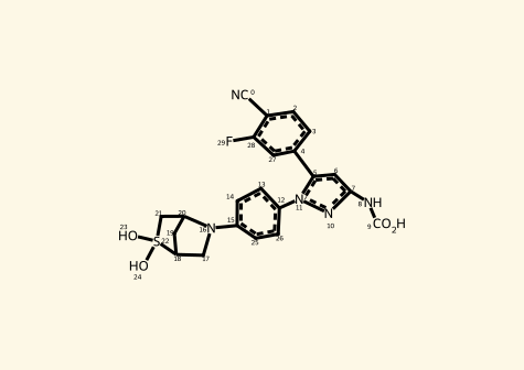 N#Cc1ccc(-c2cc(NC(=O)O)nn2-c2ccc(N3CC4CC3CS4(O)O)cc2)cc1F